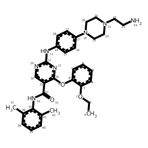 CCOc1ccccc1Oc1nc(Nc2ccc(N3CCN(CCN)CC3)cc2)ncc1C(=O)Nc1c(C)cccc1C